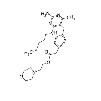 CCCCCNc1nc(N)nc(C)c1Cc1ccc(CC(=O)OCCN2CCOCC2)cc1